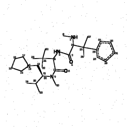 CNC(C(=O)NC(C(=O)N(C)[C@H](CN1CCCC1)C(C)C)C(C)(C)C)C(C)(C)c1ccccc1